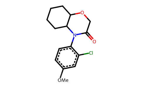 COc1ccc(N2C(=O)COC3CCCCC32)c(Cl)c1